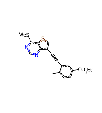 CCOC(=O)c1ccc(C)c(C#Cc2csc3c(SC)ncnc23)c1